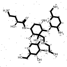 NCC[C@H](O)C(=O)N[C@@H]1C[C@H](N)C(O[C@H]2OC(CN)CCC2N)C(O)(CNCCO)[C@H]1O[C@H]1OC(CO)[C@@H](O)[C@H](N)C1O